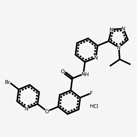 CC(C)n1cnnc1-c1cccc(NC(=O)c2cc(Oc3ccc(Br)cn3)ccc2F)n1.Cl